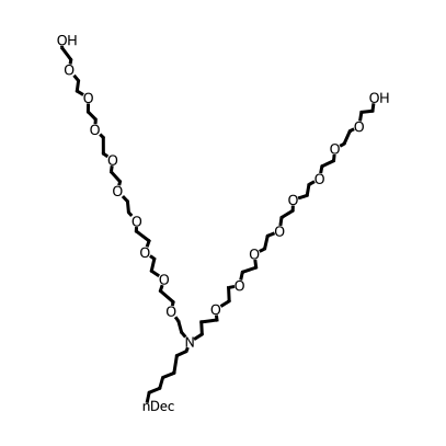 CCCCCCCCCCCCCCCCN(CCCOCCOCCOCCOCCOCCOCCOCCOCCO)CCOCCOCCOCCOCCOCCOCCOCCOCCOCCO